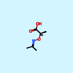 CC(C)=NO[C@H](C)C(=O)O